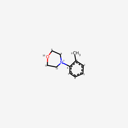 Cc1c[c]ccc1N1CCOCC1